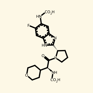 O=C(O)Nc1cc2nc([C@@H]3CCCN3C(=O)[C@@H](NC(=O)O)C3CCOCC3)[nH]c2cc1F